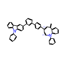 C=C1/C=C(c2ccc(-c3cccc(-c4ccc5c(c4)c4ccccc4n5-c4ccccc4)c3)cc2)\C=C/N(c2ccccc2)c2ccccc21